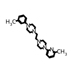 Cc1cccc(N2CCN(CCN3CCN(c4cccc(C)n4)CC3)CC2)c1